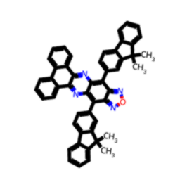 CC1(C)c2ccccc2-c2ccc(-c3c4nonc4c(-c4ccc5c(c4)C(C)(C)c4ccccc4-5)c4nc5c6ccccc6c6ccccc6c5nc34)cc21